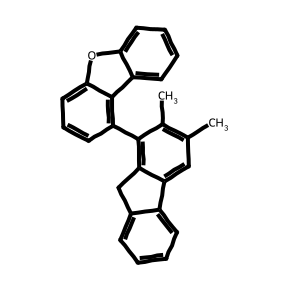 Cc1cc2c(c(-c3cccc4oc5ccccc5c34)c1C)Cc1ccccc1-2